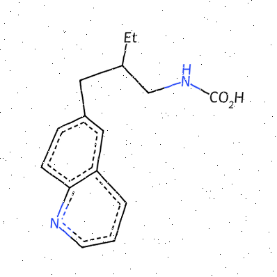 CCC(CNC(=O)O)Cc1ccc2ncccc2c1